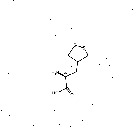 N[C@@H](CC1CSSC1)C(=O)O